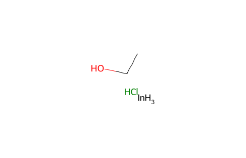 CCO.Cl.[InH3]